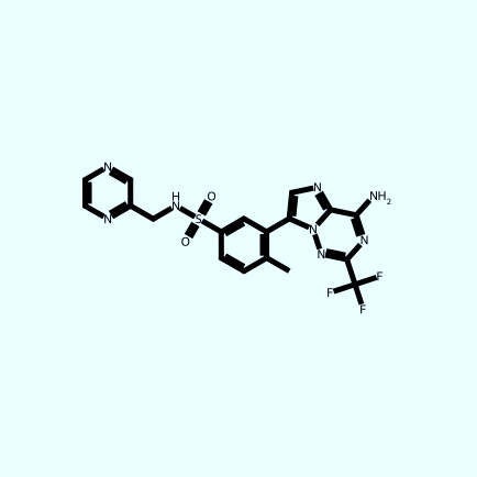 Cc1ccc(S(=O)(=O)NCc2cnccn2)cc1-c1cnc2c(N)nc(C(F)(F)F)nn12